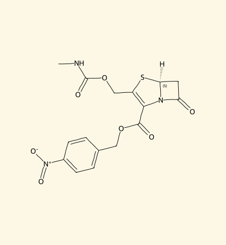 CNC(=O)OCC1=C(C(=O)OCc2ccc([N+](=O)[O-])cc2)N2C(=O)C[C@@H]2S1